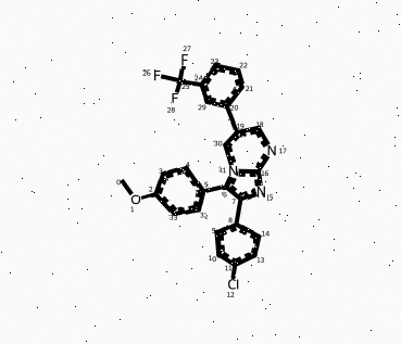 COc1ccc(-c2c(-c3ccc(Cl)cc3)nc3ncc(-c4cccc(C(F)(F)F)c4)cn23)cc1